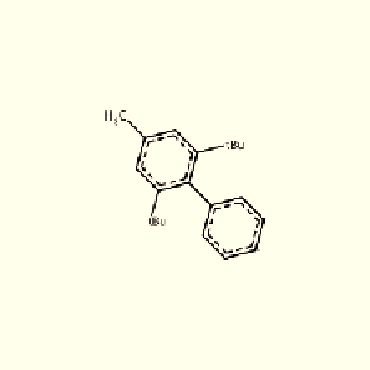 Cc1cc(C(C)(C)C)c(-c2cc[c]cc2)c(C(C)(C)C)c1